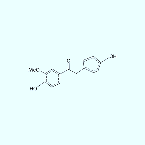 COc1cc(C(=O)Cc2ccc(O)cc2)ccc1O